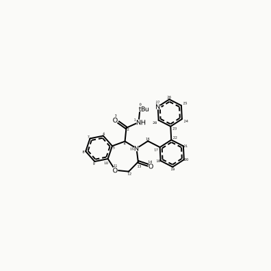 CC(C)(C)NC(=O)C1c2ccccc2OCC(=O)N1Cc1ccccc1-c1cccnc1